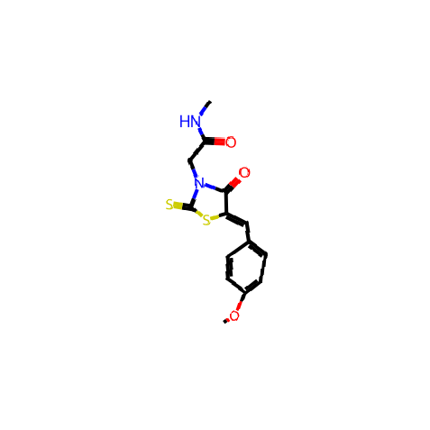 CNC(=O)CN1C(=O)/C(=C/c2ccc(OC)cc2)SC1=S